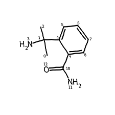 CC(C)(N)c1ccccc1C(N)=O